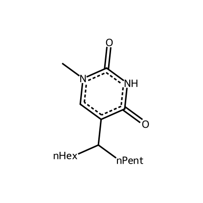 CCCCCCC(CCCCC)c1cn(C)c(=O)[nH]c1=O